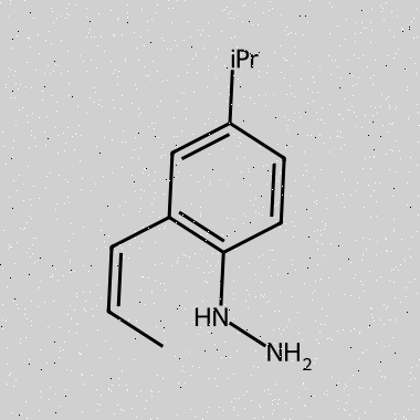 C/C=C\c1cc(C(C)C)ccc1NN